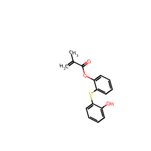 C=C(C)C(=O)Oc1ccccc1Sc1ccccc1O